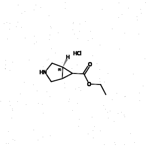 CCOC(=O)C1C2CNC[C@H]21.Cl